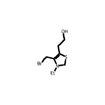 CCN1CSC(CCO)=C1CBr